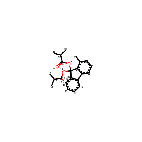 Cc1cccc2c1C(OC(=O)C(C)C)(OC(=O)C(C)C)c1ccccc1-2